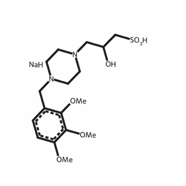 COc1ccc(CN2CCN(CC(O)CS(=O)(=O)O)CC2)c(OC)c1OC.[NaH]